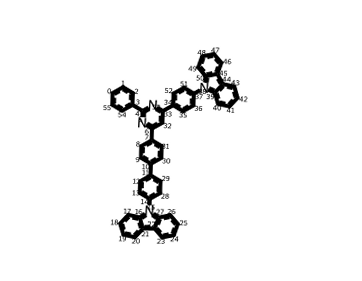 c1ccc(-c2nc(-c3ccc(-c4ccc(-n5c6ccccc6c6ccccc65)cc4)cc3)cc(-c3ccc(-n4c5ccccc5c5ccccc54)cc3)n2)cc1